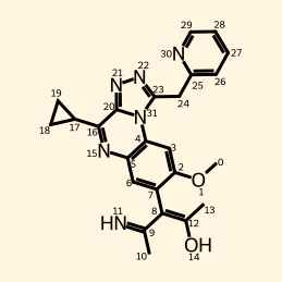 COc1cc2c(cc1/C(C(C)=N)=C(\C)O)nc(C1CC1)c1nnc(Cc3ccccn3)n12